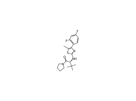 Cc1sc(N[C@H](C(=O)N2CCCC2)C(C)(C)C)nc1-c1ccc(F)cc1F